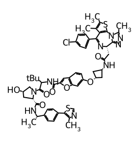 Cc1ncsc1-c1ccc([C@H](C)NC(=O)[C@@H]2C[C@@H](O)CN2C(=O)C(NC(=O)c2cc3ccc(O[C@H]4C[C@@H](NC(=O)C[C@@H]5N=C(c6ccc(Cl)cc6)c6c(sc(C)c6C)-n6c(C)nnc65)C4)cc3o2)C(C)(C)C)cc1